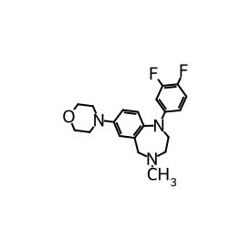 CN1CCN(c2ccc(F)c(F)c2)c2ccc(N3CCOCC3)cc2C1